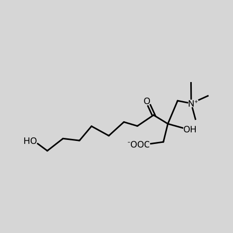 C[N+](C)(C)CC(O)(CC(=O)[O-])C(=O)CCCCCCCO